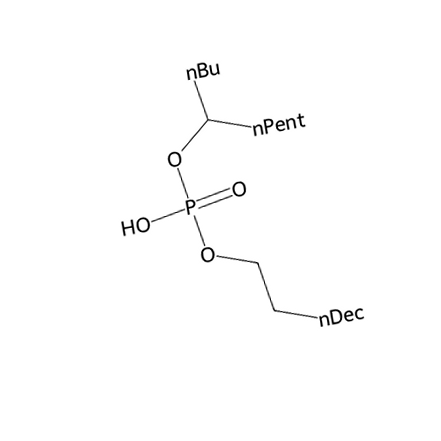 CCCCCCCCCCCCOP(=O)(O)OC(CCCC)CCCCC